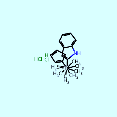 Cl.Cl.[CH3][Ti]([CH3])([CH3])([CH3])([CH3])([CH3])(=[SiH2])([C]1=CC=CC1)[c]1cc2ccccc2[nH]1